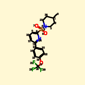 CC1CCN(S(=O)(=O)c2cccc(-c3ccc(OC(F)(F)F)cc3)n2)CC1